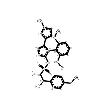 COc1ccc([C@@H](C)[C@H](C)S(=O)(=O)Nc2nnc(-c3ccn(C)n3)n2-c2c(OC)cccc2OC)nc1